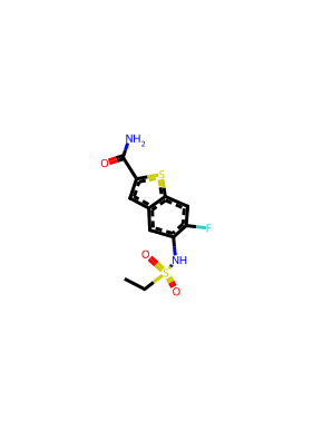 CCS(=O)(=O)Nc1cc2cc(C(N)=O)sc2cc1F